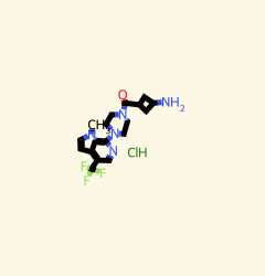 Cl.Cn1ccc2c(C(F)(F)F)cnc(N3CCN(C(=O)C4CC(N)C4)CC3)c21